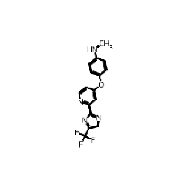 CNc1ccc(Oc2ccnc(C3=NCC(C(F)(F)F)=N3)c2)cc1